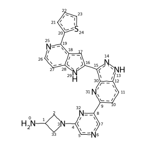 NC1CN(c2cncc(-c3ccc4[nH]nc(-c5cc6c(-c7cccs7)nccc6[nH]5)c4n3)n2)C1